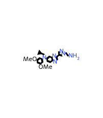 COc1cc(OC)cc(N(CC2CC2)c2ccc3ncc(-c4cnn(CCN)c4)nc3c2)c1